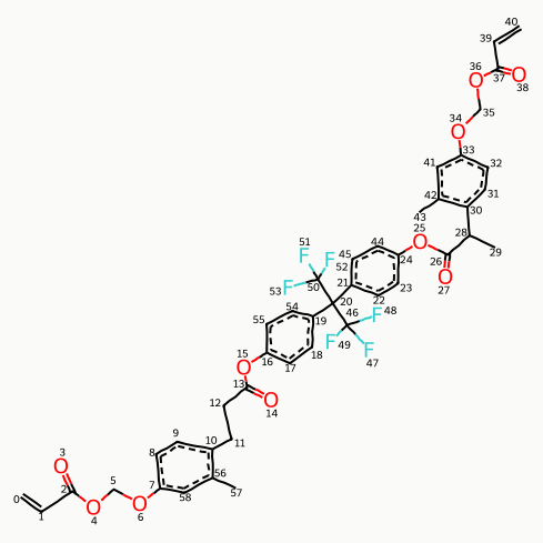 C=CC(=O)OCOc1ccc(CCC(=O)Oc2ccc(C(c3ccc(OC(=O)C(C)c4ccc(OCOC(=O)C=C)cc4C)cc3)(C(F)(F)F)C(F)(F)F)cc2)c(C)c1